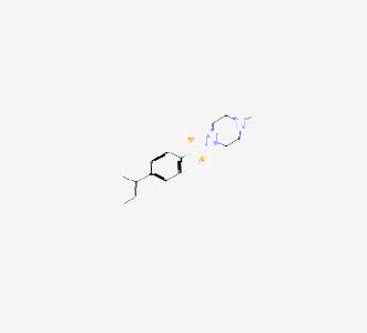 CCC(C)c1ccc(S(=O)(=O)N2CCN(C)CC2)cc1